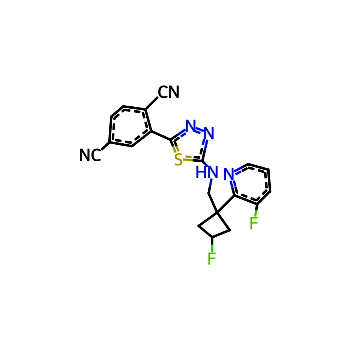 N#Cc1ccc(C#N)c(-c2nnc(NCC3(c4ncccc4F)CC(F)C3)s2)c1